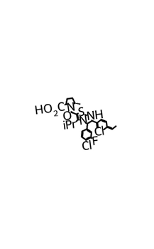 C=C(/C=C\C(Cl)=C/C)C1NC2SC(C(=O)N3C(C(=O)O)CC[C@H]3C)=C(C(C)C)N2C1c1ccc(Cl)c(F)c1